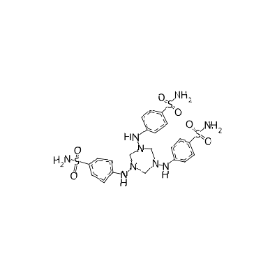 NS(=O)(=O)c1ccc(NN2CN(Nc3ccc(S(N)(=O)=O)cc3)CN(Nc3ccc(S(N)(=O)=O)cc3)C2)cc1